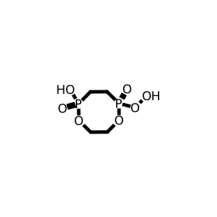 O=P1(O)CCP(=O)(OO)OCCO1